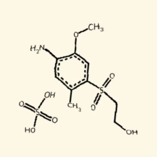 COc1cc(S(=O)(=O)CCO)c(C)cc1N.O=S(=O)(O)O